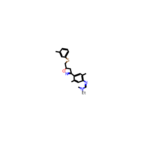 CCN(C)/C=N\c1cc(C)c(C2=NOC(CSc3cccc(C)c3)C2)cc1C